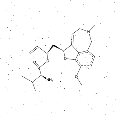 C=C[C@@H](C[C@@H]1Oc2c(OC)ccc3c2C1=CCN(C)C3)OC(=O)[C@@H](N)C(C)C